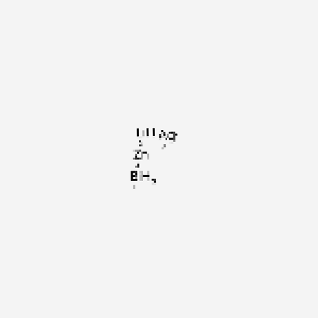 [Ag].[BiH3].[LiH].[Zn]